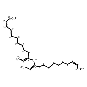 CC=C(CCCCCCC/C=C\CCCCCCCC)OC(=CC)CCCCCCC/C=C\CCCCCCCC